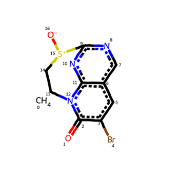 C.O=c1c(Br)cc2cnc3nc2n1CC[S+]3[O-]